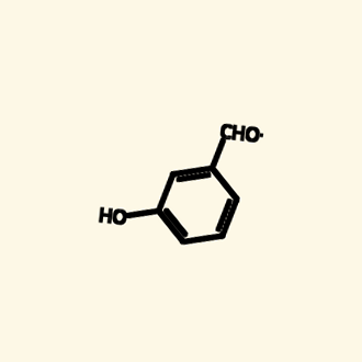 O=[C]c1cccc(O)c1